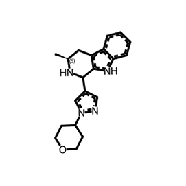 C[C@H]1Cc2c([nH]c3ccccc23)C(c2cnn(C3CCOCC3)c2)N1